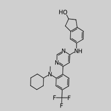 CN(c1cc(C(F)(F)F)ccc1-c1cc(Nc2ccc3c(c2)CC(O)C3)ncn1)C1CCCCC1